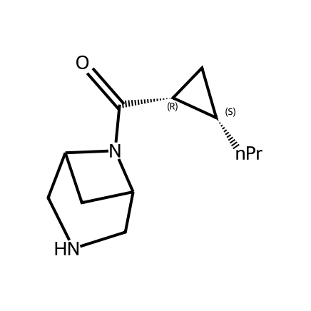 CCC[C@H]1C[C@H]1C(=O)N1C2CNCC1C2